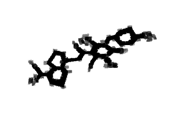 CCn1c(=O)c(C(=O)CN2CCCc3c(C(N)=O)cccc32)c(N)n(Cc2ccc(C)cc2)c1=O